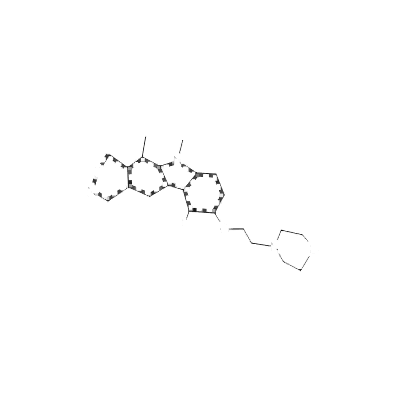 Cc1c2ccncc2cc2c3c(F)c(OCCN4CCOCC4)ccc3n(C)c12